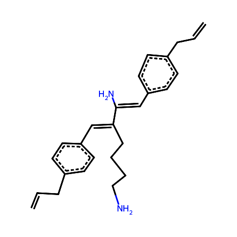 C=CCc1ccc(/C=C(N)/C(=C/c2ccc(CC=C)cc2)CCCCN)cc1